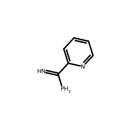 N=C(P)c1ccccn1